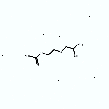 CCC(C)C(=O)OCCOCC(C)O